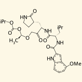 COc1cccc2[nH]c(C(=O)N[C@@H](CC(C)C)C(=O)N[C@@H](C[C@@H]3CCNC3=O)C(=O)CO[C@@H](C)OC(=O)OC(C)C)cc12